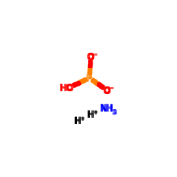 N.[H+].[H+].[O-]P([O-])O